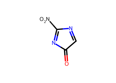 O=C1C=NC([N+](=O)[O-])=N1